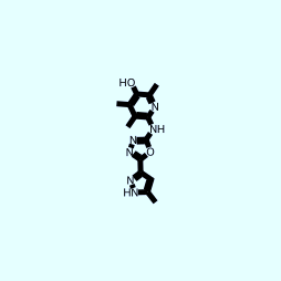 Cc1cc(-c2nnc(Nc3nc(C)c(O)c(C)c3C)o2)n[nH]1